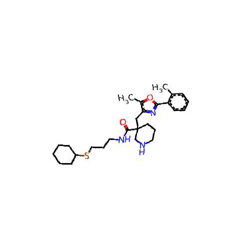 Cc1ccccc1-c1nc(CC2(C(=O)NCCCSC3CCCCC3)CCCNC2)c(C)o1